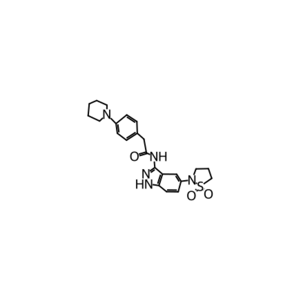 O=C(Cc1ccc(N2CCCCC2)cc1)Nc1n[nH]c2ccc(N3CCCS3(=O)=O)cc12